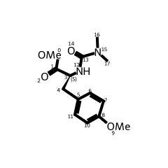 COC(=O)[C@H](Cc1ccc(OC)cc1)NC(=O)N(C)C